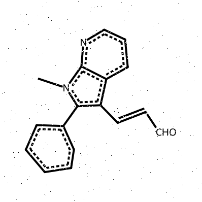 Cn1c(-c2ccccc2)c(C=CC=O)c2cccnc21